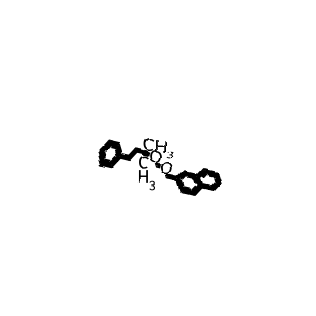 CC(C)(CCc1ccccc1)OCOCc1ccc2ccccc2c1